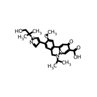 COc1cc2c(cc1-c1cnn(C(C)(C)CO)c1)CN(C(C)C)n1cc(C(=O)O)c(=O)cc1-2